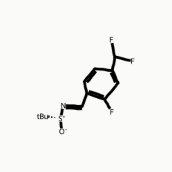 CC(C)(C)[S@@+]([O-])/N=C/c1ccc(C(F)F)cc1F